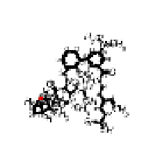 C=CC(CCNC(=O)c1cc(-c2cccc(CN3O[C@@H](CO)[C@H]([C@H](C)O)[C@H]3C(=O)N[C@H]3C[C@H]4C[C@@H]([C@@H]3C)C4(C)C)c2OC)cc(N(C)C)c1)CCC(S)Br